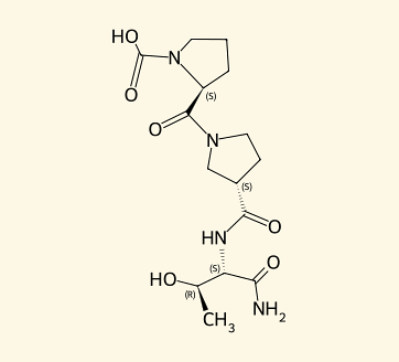 C[C@@H](O)[C@H](NC(=O)[C@H]1CCN(C(=O)[C@@H]2CCCN2C(=O)O)C1)C(N)=O